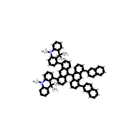 CN1c2ccccc2C(C)(C)c2c(-c3cccc4c(-c5c6cccc(-c7ccc8ccccc8c7)c6cc6c(-c7ccc8ccccc8c7)cccc56)c5cccc(-c6cccc7c6C(C)(C)c6ccccc6N7C)c5cc34)cccc21